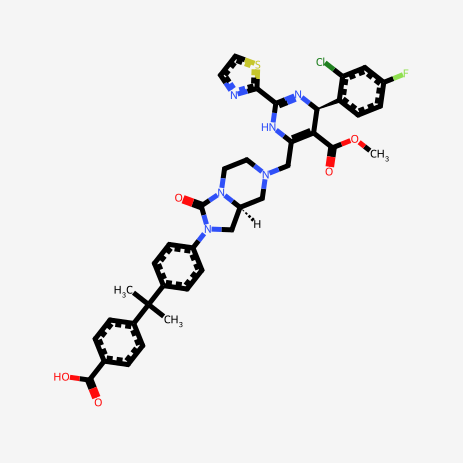 COC(=O)C1=C(CN2CCN3C(=O)N(c4ccc(C(C)(C)c5ccc(C(=O)O)cc5)cc4)C[C@@H]3C2)NC(c2nccs2)=N[C@H]1c1ccc(F)cc1Cl